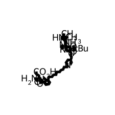 Cc1[nH]nc(Nc2ncnc3cc(OCCC4CCN(CCCCCCCCCCc5cccc6c5CN(C(CCC(=O)O)C(N)=O)C6=O)CC4)c(S(=O)(=O)C(C)(C)C)cc23)c1C